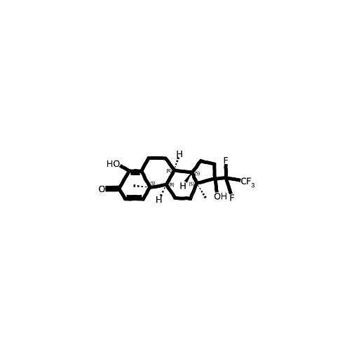 C[C@]12C=CC(=O)C(O)=C1CC[C@@H]1[C@H]2CC[C@@]2(C)[C@H]1CCC2(O)C(F)(F)C(F)(F)F